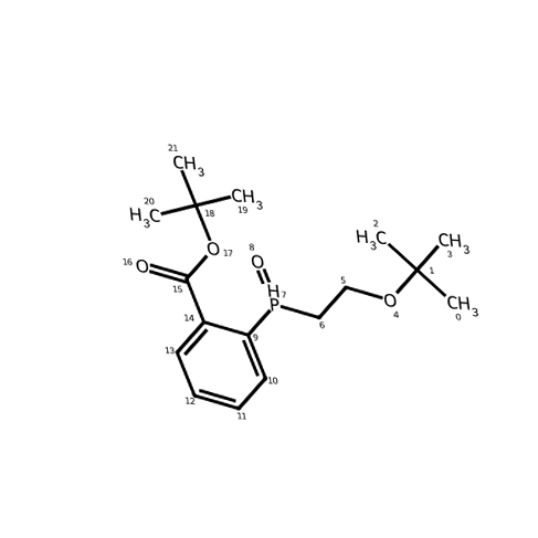 CC(C)(C)OCC[PH](=O)c1ccccc1C(=O)OC(C)(C)C